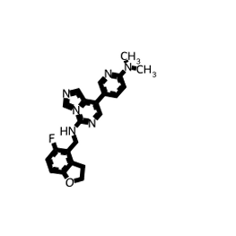 CN(C)c1ccc(-c2cnc(NCc3c(F)ccc4c3CCO4)n3cncc23)cn1